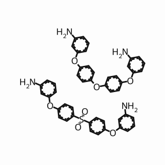 Nc1cccc(Oc2ccc(Oc3ccc(Oc4cccc(N)c4)cc3)cc2)c1.Nc1cccc(Oc2ccc(S(=O)(=O)c3ccc(Oc4cccc(N)c4)cc3)cc2)c1